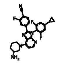 N#Cc1ccc(-c2nc3c(N4CCCC(N)C4)ccnc3n2-c2c(F)cc(C3CC3)cc2F)cc1F